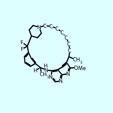 COc1nc2ncnc3c2cc1C(C)CCCCCCCN1CCC(CC1)C(F)(F)c1cccc(c1)[C@@H](C)N3